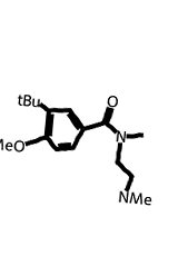 CNCCN(C)C(=O)c1ccc(OC)c(C(C)(C)C)c1